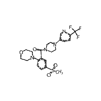 CS(=O)(=O)c1ccc(N2CCOCC2)c(C(=O)N2CCN(c3ccc(C(F)(F)F)nc3)CC2)c1